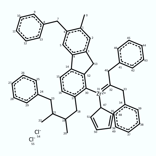 Cc1cc2c(cc1Cc1ccccc1)-c1ccc(CC(C)C(C)Cc3ccccc3)[c]([Zr+2](=[C](Cc3ccccc3)Cc3ccccc3)[CH]3C=CC=C3)c1C2.[Cl-].[Cl-]